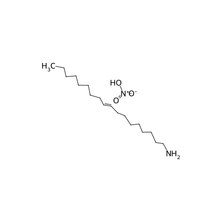 CCCCCCCCC=CCCCCCCCCN.O=[N+]([O-])O